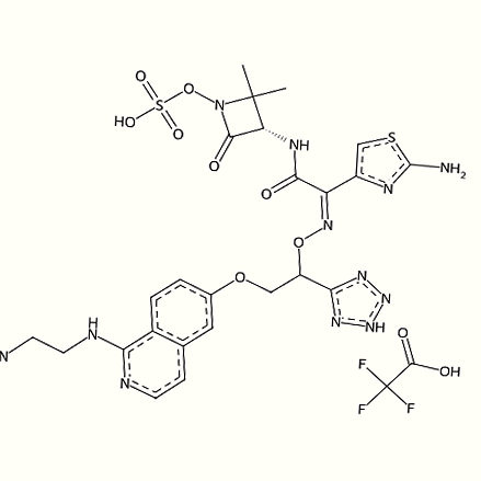 CC1(C)[C@H](NC(=O)/C(=N\OC(COc2ccc3c(NCCN)nccc3c2)c2nn[nH]n2)c2csc(N)n2)C(=O)N1OS(=O)(=O)O.O=C(O)C(F)(F)F